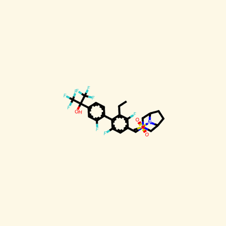 CCc1c(F)c(CN2CC3CCC(C2)N3S(C)(=O)=O)cc(F)c1-c1ccc(C(O)(C(F)(F)F)C(F)(F)F)cc1F